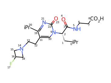 CC(C)C[C@@H](C(=O)NCCC(=O)O)n1cc(CCN2CC(F)C2)c(C(C)C)nc1=O